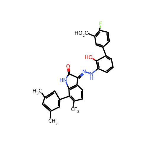 Cc1cc(C)cc(-c2c(C(F)(F)F)ccc3c2NC(=O)C3=NNc2cccc(-c3ccc(F)c(C(=O)O)c3)c2O)c1